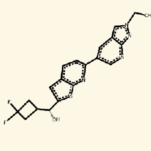 CCn1cc2cc(-c3ccc4cc([C@H](O)C5CC(F)(F)C5)sc4n3)cnc2n1